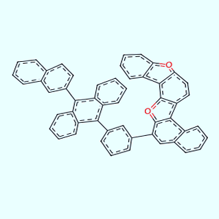 c1cc(-c2c3ccccc3c(-c3ccc4ccccc4c3)c3ccccc23)cc(-c2cc3ccccc3c3c2oc2c3ccc3oc4ccccc4c32)c1